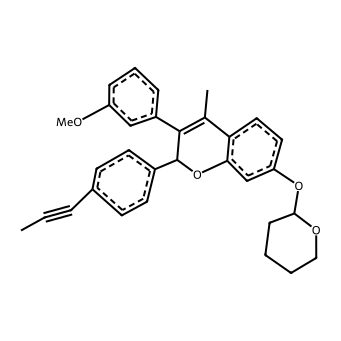 CC#Cc1ccc(C2Oc3cc(OC4CCCCO4)ccc3C(C)=C2c2cccc(OC)c2)cc1